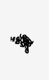 CCCC(C(=O)O)C1SCC(N=C=O)=C1N(C(C)=O)C(=O)OCC